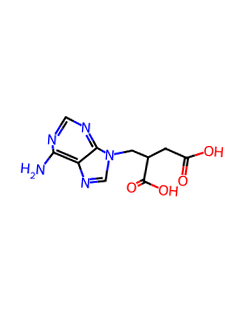 Nc1ncnc2c1ncn2CC(CC(=O)O)C(=O)O